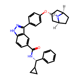 CN1[C@@H]2CC[C@H]1C[C@H](Oc1ccc(-c3n[nH]c4ccc(C(=O)N[C@H](c5ccccc5)C5CC5)cc34)cc1)C2